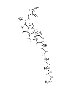 CC(C)NC(=O)CC[C@@H](C)[C@H]1CCC2C3CCC4C[C@@H](NCCCNCCNCCCN)CC[C@]4(C)C3CC[C@@]21C